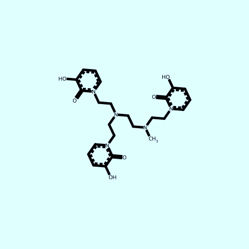 CN(CCN(CCn1cccc(O)c1=O)CCn1cccc(O)c1=O)CCn1cccc(O)c1=O